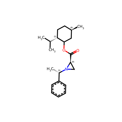 CC(C)[C@@H]1CC[C@@H](C)CC1OC(=O)[C@H]1CN1[C@@H](C)c1ccccc1